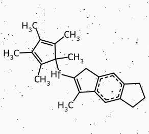 CC1=C(C)[C](C)([Hf][C]2=C(C)c3cc4c(cc3C2)CCC4)C(C)=C1C